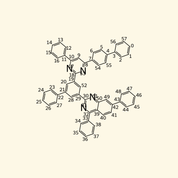 c1ccc(-c2ccc(-c3cc(-c4ccccc4)nc(-c4cc(-c5ccccc5)cc(-c5nc(-c6ccccc6)c6ccc(-c7ccccc7)cc6n5)c4)n3)cc2)cc1